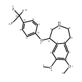 COc1cc2c(cc1OC)C(Oc1ccc(C(F)(F)F)cc1)CNCC2